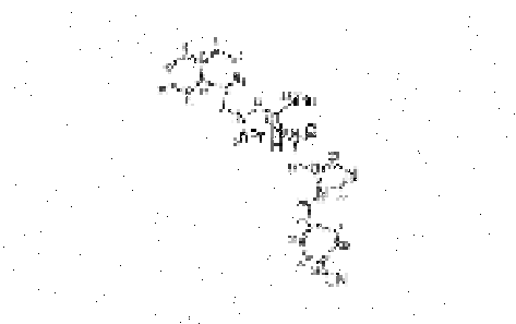 CCCN(Cc1cccc2ccccc12)CC(NC(=O)Cc1cncn1Cc1ccc(C#N)cc1)C(C)CC